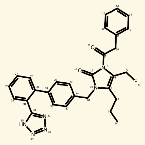 CCCc1c(CF)n(C(=O)Cc2ccccc2)c(=O)n1Cc1ccc(-c2ccccc2-c2nnn[nH]2)cc1